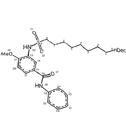 CCCCCCCCCCCCCCCCCCS(=O)(=O)Nc1cc(C(=O)Nc2ccccc2)ccc1OC